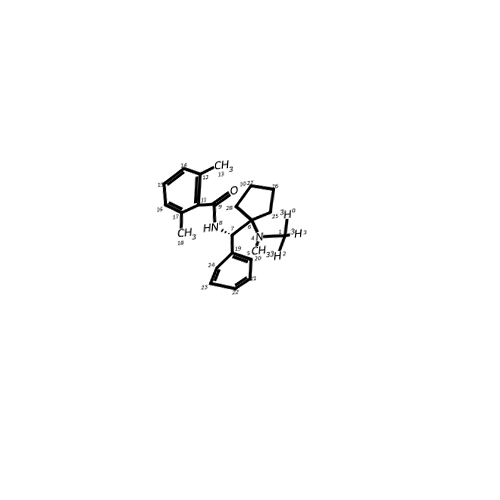 [3H]C([3H])([3H])N(C)C1([C@@H](NC(=O)c2c(C)cccc2C)c2ccccc2)CCCC1